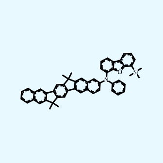 CC1(C)c2cc3c(cc2-c2cc4ccccc4cc21)C(C)(C)c1cc2cc(N(c4ccccc4)c4cccc5c4oc4c([Si](C)(C)C)cccc45)ccc2cc1-3